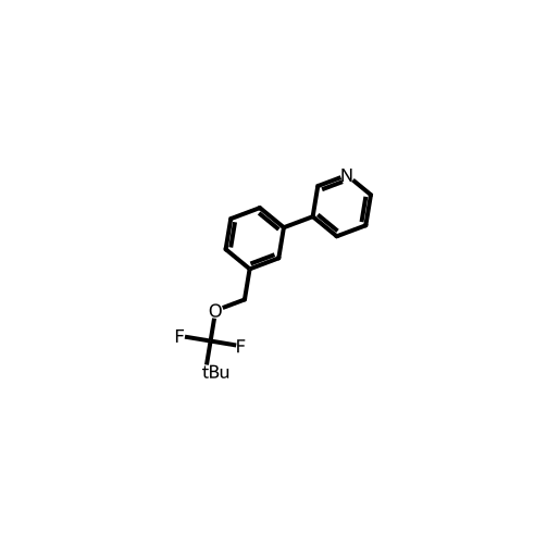 CC(C)(C)C(F)(F)OCc1cccc(-c2cccnc2)c1